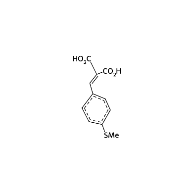 CSc1ccc(C=C(C(=O)O)C(=O)O)cc1